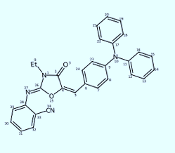 CCN1C(=O)/C(=C\c2ccc(N(c3ccccc3)c3ccccc3)cc2)O/C1=N\c1ccccc1C#N